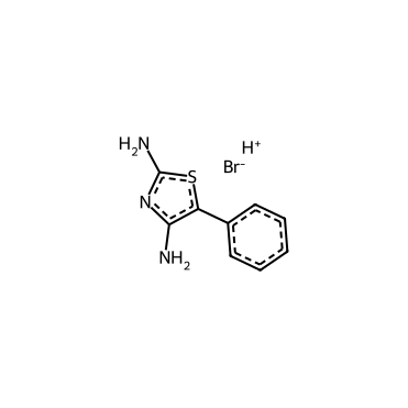 Nc1nc(N)c(-c2ccccc2)s1.[Br-].[H+]